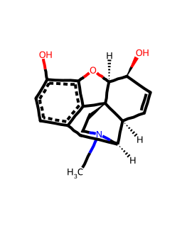 CN1CC[C@@]23c4c5ccc(O)c4O[C@H]2[C@@H](O)C=C[C@H]3[C@H]1C5